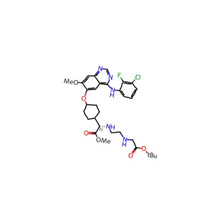 COC(=O)[C@@H](NCCNCC(=O)OC(C)(C)C)C1CCC(Oc2cc3c(Nc4cccc(Cl)c4F)ncnc3cc2OC)CC1